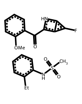 CCc1ccccc1NS(C)(=O)=O.COc1ccccc1C(=O)c1[nH]c2c(F)c1-2